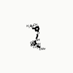 CCOC(=O)C1=C(NCCOC)C(NCCCOc2cccc(CN(C)C)c2)=NS1(=O)=O